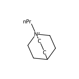 CCC[N+]12CCC(CC1)CC2